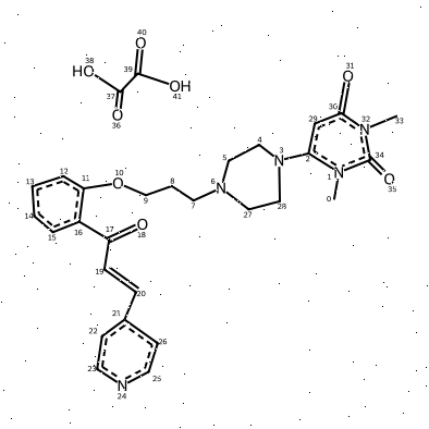 Cn1c(N2CCN(CCCOc3ccccc3C(=O)/C=C/c3ccncc3)CC2)cc(=O)n(C)c1=O.O=C(O)C(=O)O